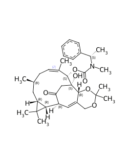 C/C1=C/C[C@H](C)C[C@@H]2[C@H]([C@@H]3C=C4COC(C)(C)O[C@H]4[C@@](O)(CC3=O)[C@H]1OC(=O)N(C)[C@@H](C)c1ccccc1)C2(C)C